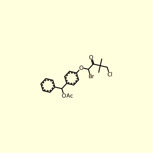 CC(=O)OC(c1ccccc1)c1ccc(OC(Br)C(=O)C(C)(C)CCl)cc1